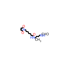 CC(CCCNC=O)NC(=O)CCCCCCN1C(=O)C=CC1=O